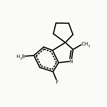 Bc1cc(F)c2c(c1)C1(CCCC1)C(C)=N2